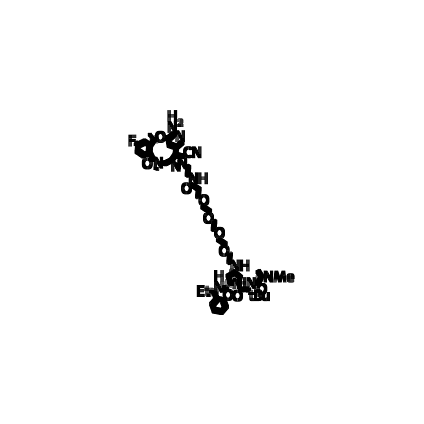 CC[C@@H](NC(=O)[C@@H]1C[C@H](NCCOCCOCCOCCOCCC(=O)NCCn2nc3c(c2C#N)-c2cnc(N)c(c2)O[C@H](C)c2cc(F)ccc2C(=O)N(C)C3)CN1C(=O)C(NC(=O)[C@H](C)NC)C(C)(C)C)c1ccccc1